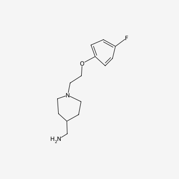 NCC1CCN(CCOc2ccc(F)cc2)CC1